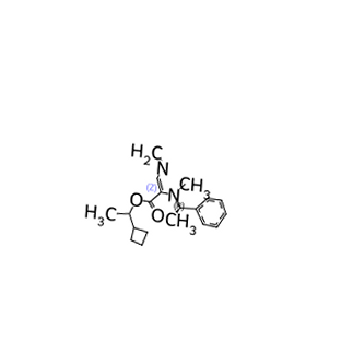 C=N/C=C(/C(=O)OC(C)C1CCC1)N(C)[C@H](C)c1ccccc1